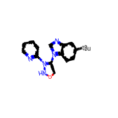 CC(C)(C)c1ccc2c(c1)ncn2C1=CONN1c1ccccn1